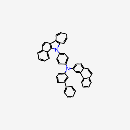 C1=Cc2c(n(-c3ccc(N(c4cccc(-c5ccccc5)c4)c4ccc5ccc6ccccc6c5c4)cc3)c3c2ccc2ccccc23)C=CC1